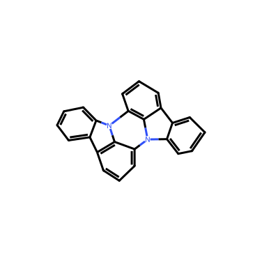 c1ccc2c(c1)c1cccc3c1n2c1cccc2c4ccccc4n3c21